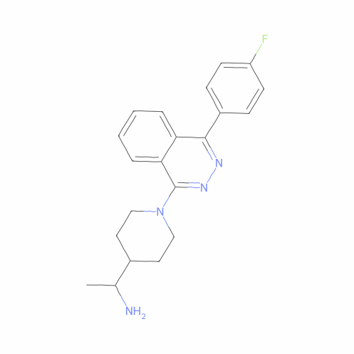 CC(N)C1CCN(c2nnc(-c3ccc(F)cc3)c3ccccc23)CC1